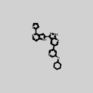 c1csc(-c2nccc3[nH]c(-c4n[nH]c5ncc(-c6cncc(OC7CCCCC7)c6)cc45)cc23)c1